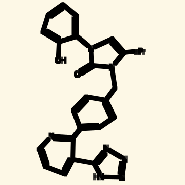 CCCc1cn(-c2ccccc2O)c(=O)n1Cc1ccc(-c2ncccc2-c2nnn[nH]2)cc1